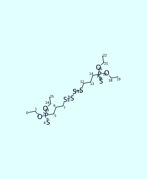 CCOP(=S)(CCCSSSSCCCP(=S)(OCC)OCC)OCC